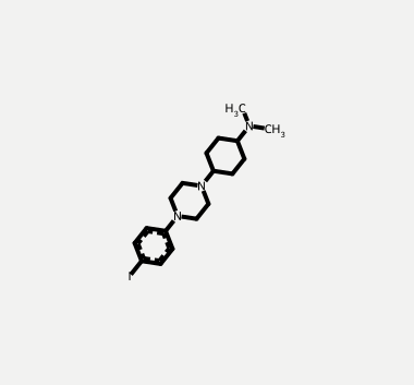 CN(C)C1CCC(N2CCN(c3ccc(I)cc3)CC2)CC1